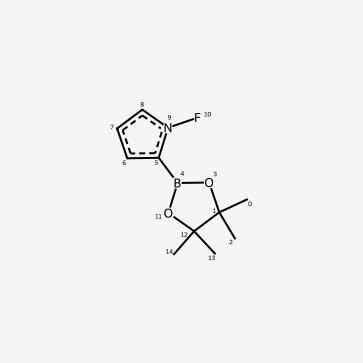 CC1(C)OB(c2cccn2F)OC1(C)C